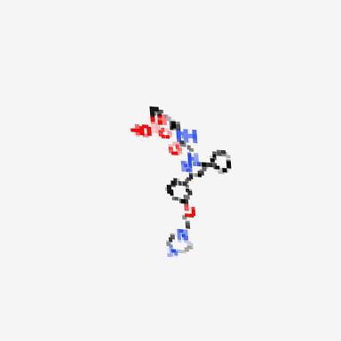 CC(C)C[C@H](NC(=O)Cn1nc(-c2cccc(OCCN3CCN(C)CC3)c2)cc1-c1ccccc1)OB(O)O